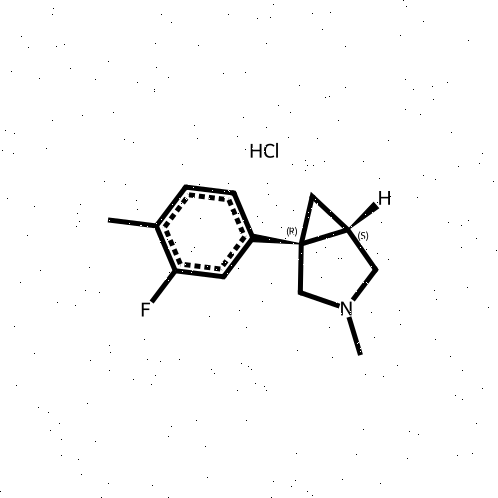 Cc1ccc([C@@]23C[C@@H]2CN(C)C3)cc1F.Cl